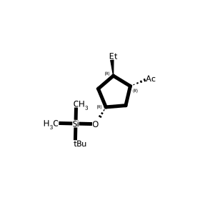 CC[C@@H]1C[C@@H](O[Si](C)(C)C(C)(C)C)C[C@H]1C(C)=O